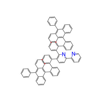 c1ccc(-c2c3ccccc3c(-c3ccccc3-c3ccccc3-c3ccc(-c4ccccn4)nc3-c3ccccc3-c3ccccc3-c3c4ccccc4c(-c4ccccc4)c4ccccc34)c3ccccc23)cc1